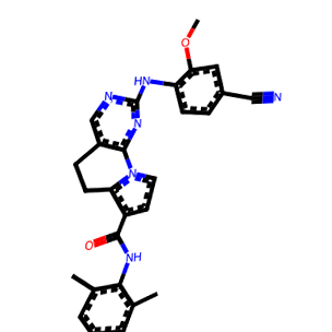 COc1cc(C#N)ccc1Nc1ncc2c(n1)-n1ccc(C(=O)Nc3c(C)cccc3C)c1CC2